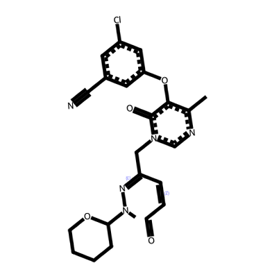 Cc1ncn(CC(/C=C\C=O)=N/N(C)C2CCCCO2)c(=O)c1Oc1cc(Cl)cc(C#N)c1